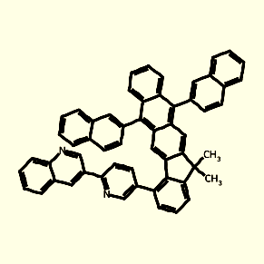 CC1(C)c2cc3c(-c4ccc5ccccc5c4)c4ccccc4c(-c4ccc5ccccc5c4)c3cc2-c2c(-c3ccc(-c4cnc5ccccc5c4)nc3)cccc21